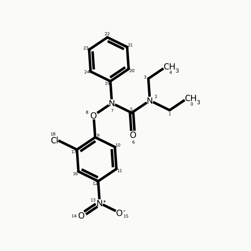 CCN(CC)C(=O)N(Oc1ccc([N+](=O)[O-])cc1Cl)c1ccccc1